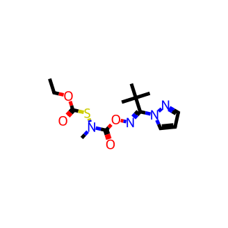 CCOC(=O)SN(C)C(=O)ON=C(n1cccn1)C(C)(C)C